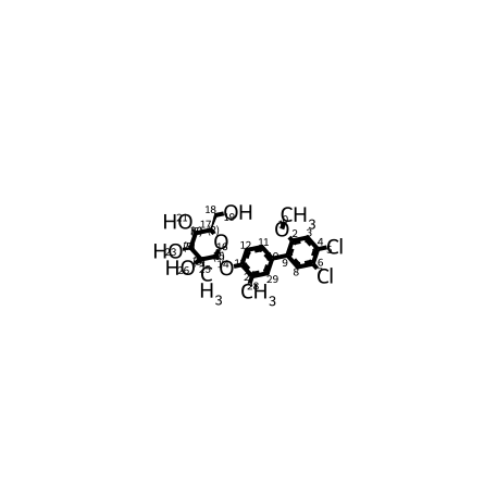 COc1cc(Cl)c(Cl)cc1-c1ccc(O[C@H]2O[C@H](CO)[C@@H](O)[C@H](O)[C@]2(C)O)c(C)c1